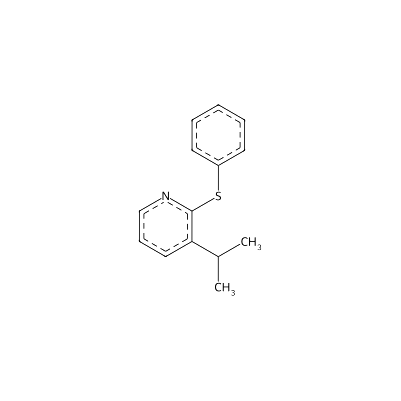 CC(C)c1cccnc1Sc1ccccc1